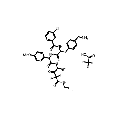 COc1ccc(C(NC(=O)C(Cc2ccc(CN)cc2)NC(=O)c2cccc(Cl)c2)C(=O)NC(C(=O)C(F)(F)C(=O)NCC(F)(F)F)C(C)C)cc1.O=C(O)C(F)(F)F